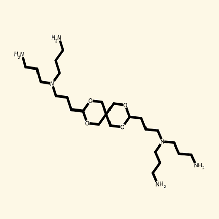 NCCCN(CCCN)CCCC1OCC2(CO1)COC(CCCN(CCCN)CCCN)OC2